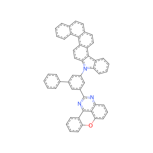 c1ccc(-c2cc(-c3nc4c5c(cccc5n3)Oc3ccccc3-4)cc(-n3c4ccccc4c4c5ccc6ccc7ccccc7c6c5ccc43)c2)cc1